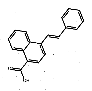 O=C(O)c1ccc(C=Cc2ccccc2)c2ccccc12